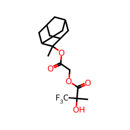 CC1(OC(=O)COC(=O)C(C)(O)C(F)(F)F)C2CC3CC(C2)CC1C3